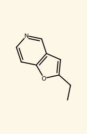 CCc1cc2cnccc2o1